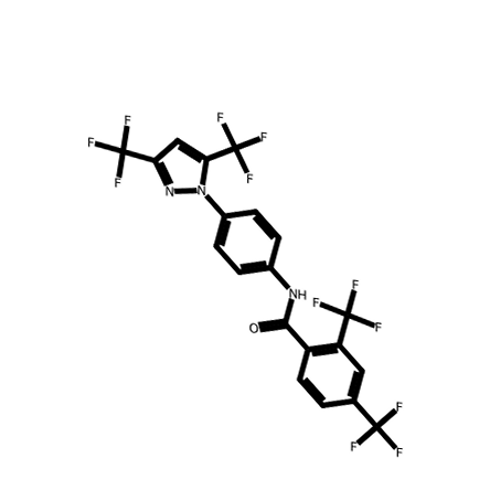 O=C(Nc1ccc(-n2nc(C(F)(F)F)cc2C(F)(F)F)cc1)c1ccc(C(F)(F)F)cc1C(F)(F)F